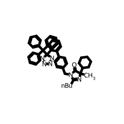 CCCCC1=NC(C)(C2CCCCC2)C(=O)N1Cc1ccc(-c2ccccc2C2(C(c3ccccc3)(c3ccccc3)c3ccccc3)N=NN=N2)cc1